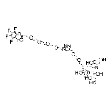 O=C(CO)N[C@H]1[C@H]([C@H](O)[C@H](O)CO)O[C@@](SCCOCCOCc2cn(CCOCCOCCOCCOCCC(=O)Oc3c(F)c(F)c(F)c(F)c3F)nn2)(C(=O)O)C[C@@H]1O